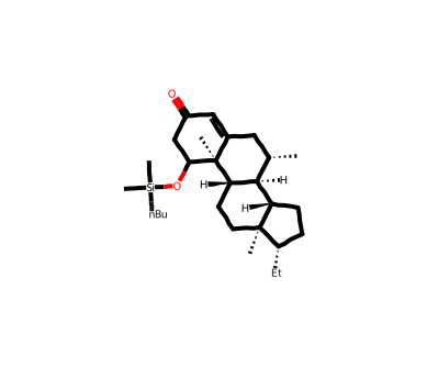 CCCC[Si](C)(C)OC1CC(=O)C=C2C[C@H](C)[C@H]3[C@@H]4CC[C@H](CC)[C@@]4(C)CC[C@@H]3[C@]21C